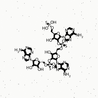 Nc1ncnc2c1ncn2[C@@H]1O[C@H](COP(O)(=S)OC2C(O)[C@@H](COP(O)(=S)OC3C(O)[C@@H](COP(O)(O)=S)O[C@H]3n3cnc4c(N)ncnc43)O[C@H]2n2cnc3c(N)ncnc32)C(O)C1O